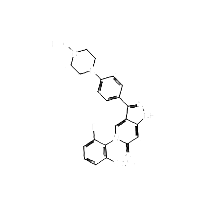 COc1cccc(F)c1-n1cc2c(-c3ccc(N4CCN(C)CC4)cc3)n[nH]c2cc1=O